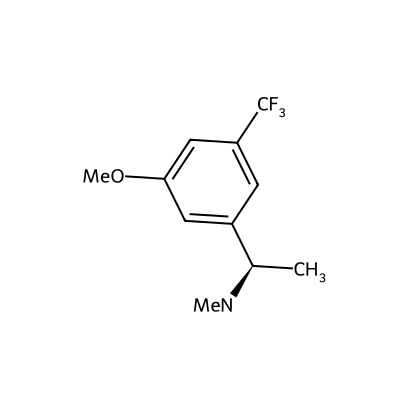 CN[C@H](C)c1cc(OC)cc(C(F)(F)F)c1